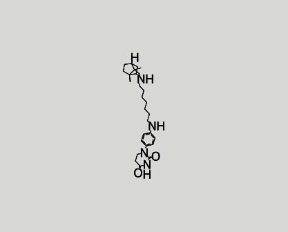 CC1(C)[C@@H]2CC[C@@]1(C)[C@@H](NCCCCCCCNc1ccc(N3CCC(=O)NC3=O)cc1)C2